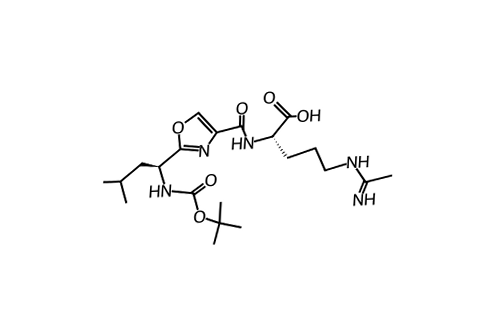 CC(=N)NCCC[C@H](NC(=O)c1coc([C@H](CC(C)C)NC(=O)OC(C)(C)C)n1)C(=O)O